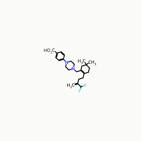 C=C(CCC1=C(CN2CCN(c3ccc(C(=O)O)cc3)CC2)CC(C)(C)CC1)C(F)F